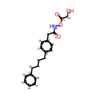 O=C(Cc1ccc(CCCCc2ccccc2)cc1)NOC(=O)CO